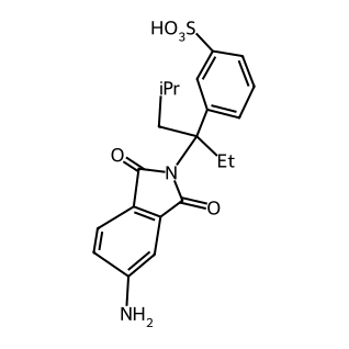 CCC(CC(C)C)(c1cccc(S(=O)(=O)O)c1)N1C(=O)c2ccc(N)cc2C1=O